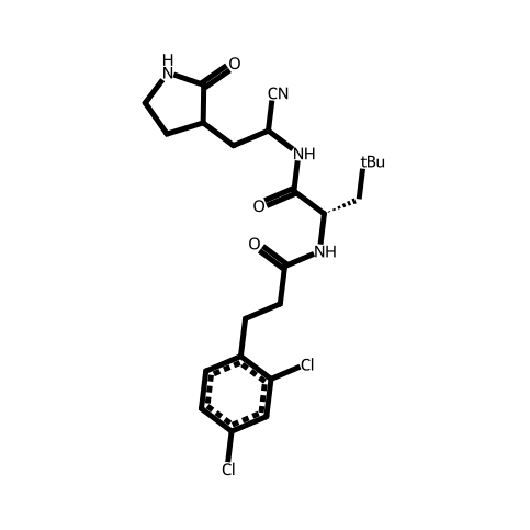 CC(C)(C)C[C@H](NC(=O)CCc1ccc(Cl)cc1Cl)C(=O)NC(C#N)CC1CCNC1=O